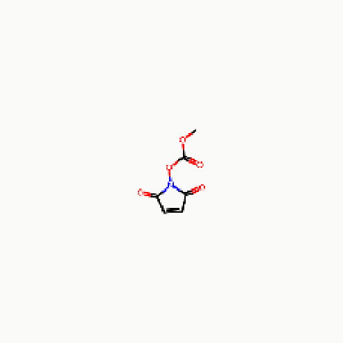 COC(=O)ON1C(=O)C=CC1=O